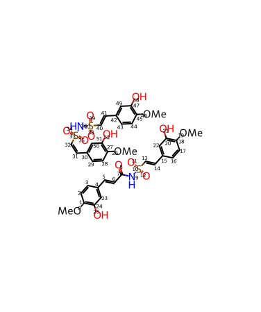 COc1ccc(/C=C/C(=O)NS(=O)(=O)/C=C/c2ccc(OC)c(O)c2)cc1O.COc1ccc(/C=C\S(=O)(=O)NS(=O)(=O)/C=C/c2ccc(OC)c(O)c2)cc1O